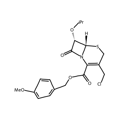 COc1ccc(COC(=O)C2=C(CCl)CS[C@H]3[C@@H](OC(C)C)C(=O)N23)cc1